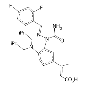 C/C(=C\C(=O)O)c1ccc(N(CC(C)C)CC(C)C)c(N(/N=C/c2ccc(F)cc2F)C(N)=O)c1